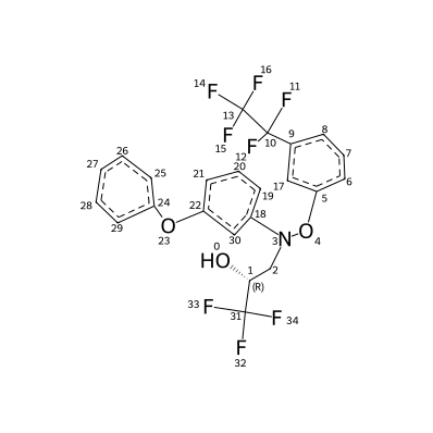 O[C@H](CN(Oc1cccc(C(F)(F)C(F)(F)F)c1)c1cccc(Oc2ccccc2)c1)C(F)(F)F